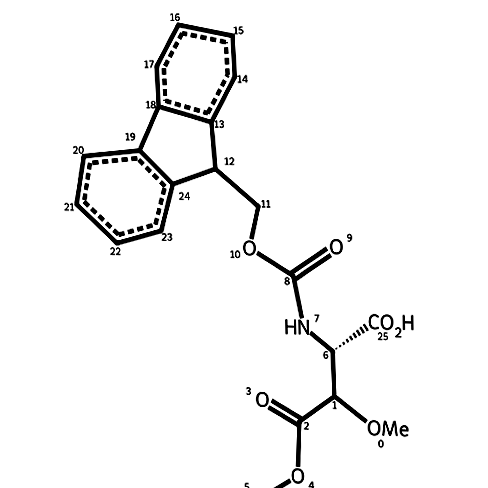 COC(C(=O)OC(C)(C)C)[C@H](NC(=O)OCC1c2ccccc2-c2ccccc21)C(=O)O